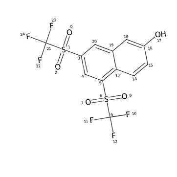 O=S(=O)(c1cc(S(=O)(=O)C(F)(F)F)c2ccc(O)cc2c1)C(F)(F)F